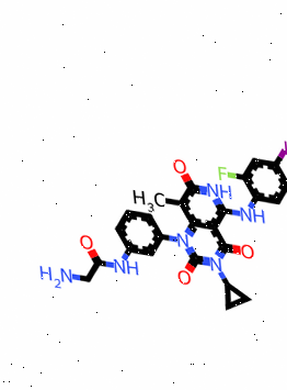 Cc1c(=O)[nH]c(Nc2ccc(I)cc2F)c2c(=O)n(C3CC3)c(=O)n(-c3cccc(NC(=O)CN)c3)c12